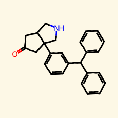 O=C1CC2CNCC2(c2cccc(C(c3ccccc3)c3ccccc3)c2)C1